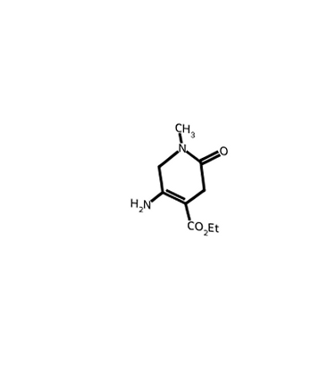 CCOC(=O)C1=C(N)CN(C)C(=O)C1